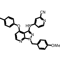 COc1ccc(Cn2nc(Nc3ccnc(C#N)c3)c3c(Oc4ccc(C)cc4)ccnc32)cc1